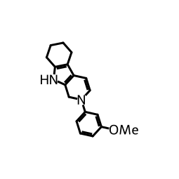 COc1cccc(N2C=Cc3c([nH]c4c3CCCC4)C2)c1